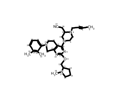 CC#CCN1CCN(c2nc(OCC3CCCN3C)nc3c2CCN(c2cccc(C)c2C)C3)CC1CC#N